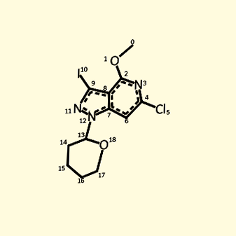 COc1nc(Cl)cc2c1c(I)nn2C1CCCCO1